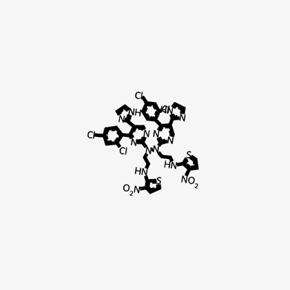 O=[N+]([O-])c1ccsc1NCCN(c1ncc(-c2ncc[nH]2)c(-c2ccc(Cl)cc2Cl)n1)N(CCNc1sccc1[N+](=O)[O-])c1ncc(-c2ncc[nH]2)c(-c2ccc(Cl)cc2Cl)n1